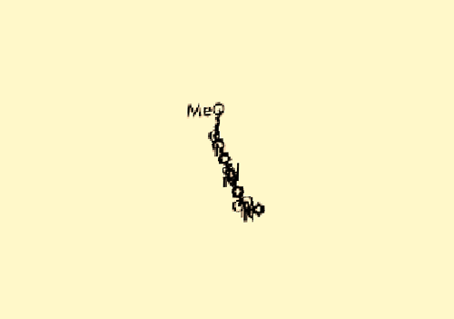 COCCCCCOC1CCN(c2ccc(-c3nn4cc(-c5ccc(C(=O)On6nnc7ccccc76)cc5)nc4s3)cc2)CC1